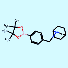 CC1(C)OB(c2ccc(CN3CC4CCC3CC4)cc2)OC1(C)C